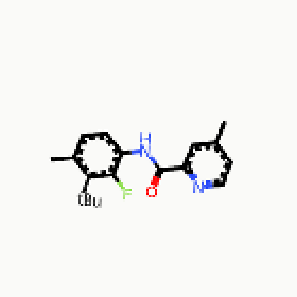 Cc1ccnc(C(=O)Nc2ccc(C)c(C(C)(C)C)c2F)c1